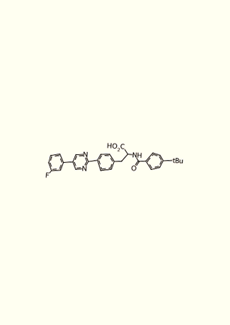 CC(C)(C)c1ccc(C(=O)NC(Cc2ccc(-c3ncc(-c4cccc(F)c4)cn3)cc2)C(=O)O)cc1